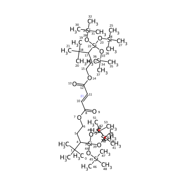 CC(C)(C)C(CCOC(=O)/C=C/C(=O)OCCC(C(C)(C)C)[Si](O[Si](C)(C)C)(O[Si](C)(C)C)O[Si](C)(C)C)[Si](O[Si](C)(C)C)(O[Si](C)(C)C)O[Si](C)(C)C